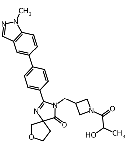 CC(O)C(=O)N1CC(CN2C(=O)C3(CCOC3)N=C2c2ccc(-c3ccc4c(cnn4C)c3)cc2)C1